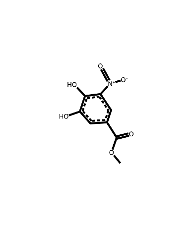 COC(=O)c1cc(O)c(O)c([N+](=O)[O-])c1